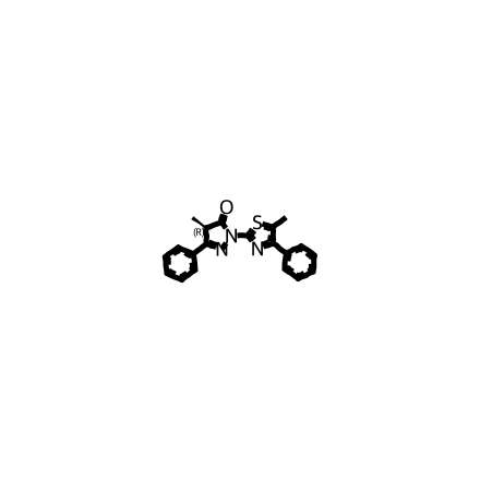 Cc1sc(N2N=C(c3ccccc3)[C@@H](C)C2=O)nc1-c1ccccc1